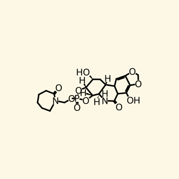 O=C1N[C@H]2[C@@H]3OP(=O)(OCN4CCCCCC4=O)O[C@@H]3[C@@H](O)C[C@@H]2C2C=C3OCOC3=C(O)C12